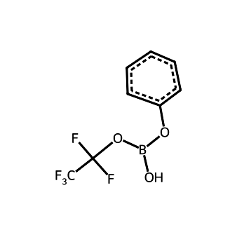 OB(Oc1ccccc1)OC(F)(F)C(F)(F)F